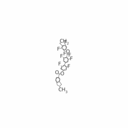 C=Cc1c(F)cc(OC(F)(F)c2c(F)cc(-c3c(F)cc(OC(=O)c4ccc5c(c4)CC(C)C5)cc3F)cc2F)cc1F